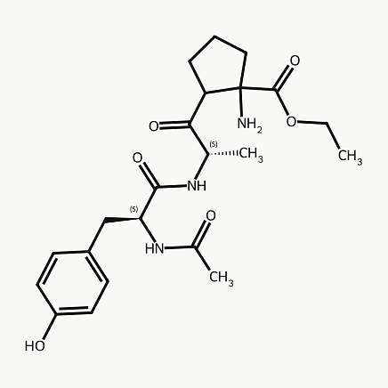 CCOC(=O)C1(N)CCCC1C(=O)[C@H](C)NC(=O)[C@H](Cc1ccc(O)cc1)NC(C)=O